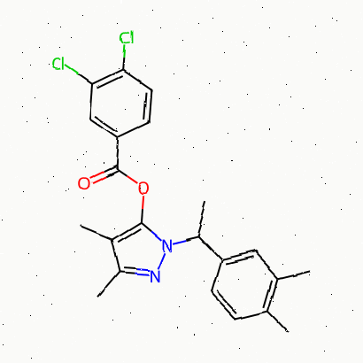 Cc1ccc(C(C)n2nc(C)c(C)c2OC(=O)c2ccc(Cl)c(Cl)c2)cc1C